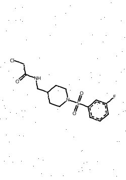 O=C(CCl)NCC1CCN(S(=O)(=O)c2cccc(F)c2)CC1